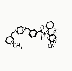 CN1CCCC(CN2CCN(Cc3cccc(C(=O)NN(c4nc(C#N)ncc4Br)C4CCCCC4)c3)CC2)C1